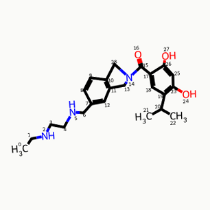 CCNCCNCc1ccc2c(c1)CN(C(=O)c1cc(C(C)C)c(O)cc1O)C2